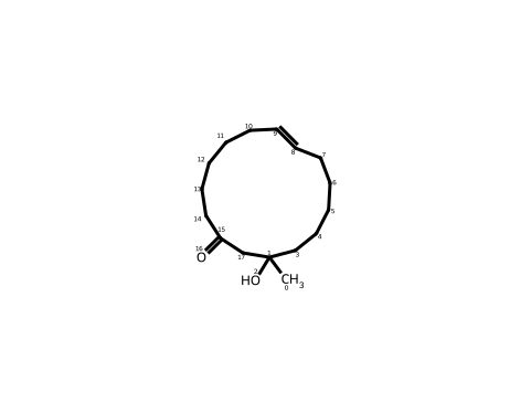 CC1(O)CCCCC/C=C/CCCCCC(=O)C1